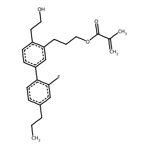 C=C(C)C(=O)OCCCc1cc(-c2ccc(CCC)cc2F)ccc1CCO